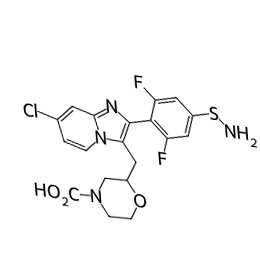 NSc1cc(F)c(-c2nc3cc(Cl)ccn3c2CC2CN(C(=O)O)CCO2)c(F)c1